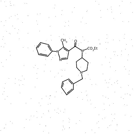 CCOC(=O)N(C(=O)c1cnn(-c2ccccc2)c1C)C1CCN(Cc2ccccc2)CC1